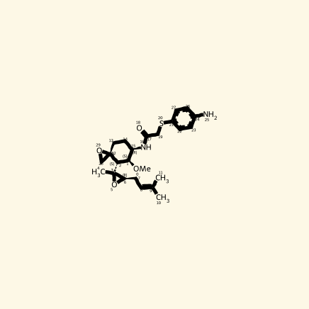 CO[C@H]1[C@H](C2(C)O[C@@H]2CC=C(C)C)[C@]2(CC[C@H]1NC(=O)CSc1ccc(N)cc1)CO2